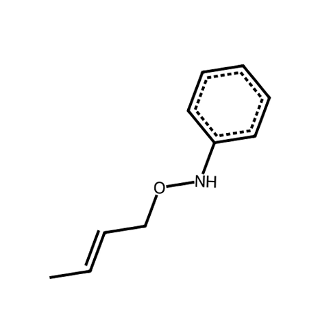 C/C=C/CONc1ccccc1